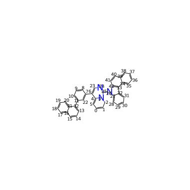 C1=CCN2C(=C1)C(c1cccc(-c3cccc4ccccc34)c1)=CN=C2n1c2ccccc2c2c3ccccc3ccc21